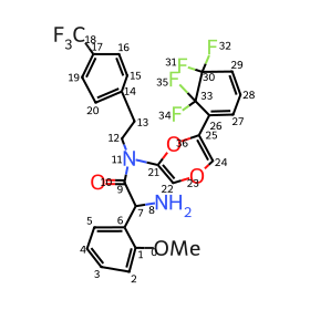 COc1ccccc1C(N)C(=O)N(CCc1ccc(C(F)(F)F)cc1)C1=COC=C(C2=CC=CC(F)(F)C2(F)F)O1